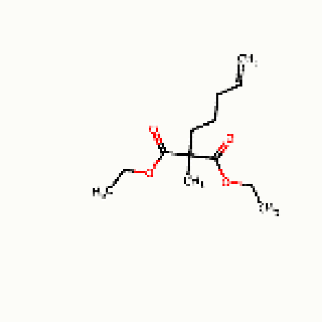 C=CCCCC(C)(C(=O)OCC)C(=O)OCC